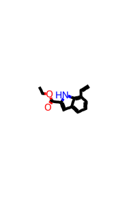 C=Cc1cccc2cc(C(=O)OCC)[nH]c12